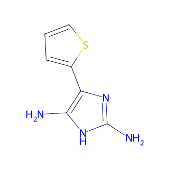 Nc1nc(-c2cccs2)c(N)[nH]1